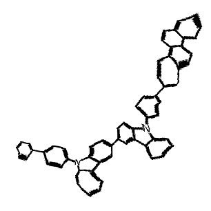 c1ccc(-c2ccc(-n3c4ccccc4c4cc(-c5ccc6c(c5)c5ccccc5n6-c5ccc(-c6ccc7c(ccc8c9ccccc9ccc78)c6)cc5)ccc43)cc2)cc1